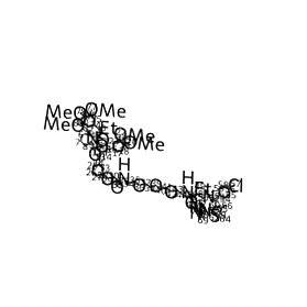 CC[C@H](C(=O)N1CCCC[C@H]1C(=O)O[C@H](CCc1ccc(OC)c(OC)c1)c1cccc(OCC(=O)NCCOCCOCCOCCNC(=O)[C@H](CC)[C@@H]2N=C(c3ccc(Cl)cc3)c3c(sc(C)c3C)-n3c(C)nnc32)c1)c1cc(OC)c(OC)c(OC)c1